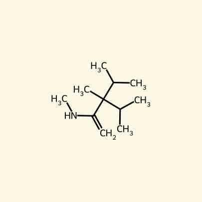 C=C(NC)C(C)(C(C)C)C(C)C